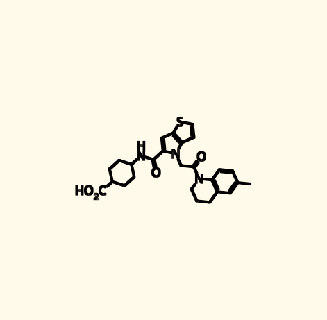 Cc1ccc2c(c1)CCCN2C(=O)Cn1c(C(=O)NC2CCC(C(=O)O)CC2)cc2sccc21